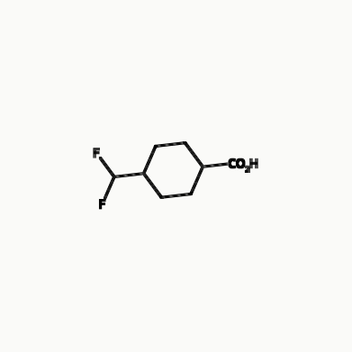 O=C(O)C1CCC(C(F)F)CC1